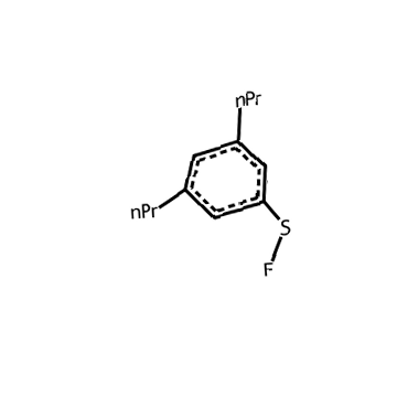 CCCc1cc(CCC)cc(SF)c1